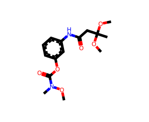 CON(C)C(=O)Oc1cccc(NC(=O)CC(C)(OC)OC)c1